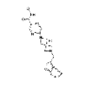 Cl.O=C(NO)c1cnc(N2CC3(CN(Cc4coc5ccccc45)C3)C2)nc1